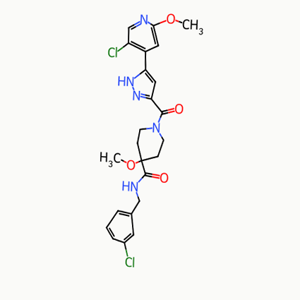 COc1cc(-c2cc(C(=O)N3CCC(OC)(C(=O)NCc4cccc(Cl)c4)CC3)n[nH]2)c(Cl)cn1